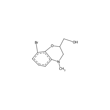 CN1CC(CO)Oc2c(Br)cccc21